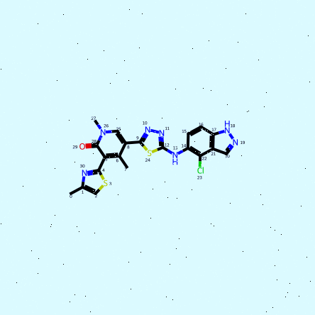 Cc1csc(-c2c(C)c(-c3nnc(Nc4ccc5[nH]ncc5c4Cl)s3)cn(C)c2=O)n1